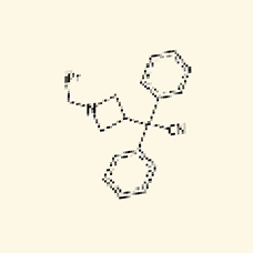 CC(C)CN1CC(C(C#N)(c2ccccc2)c2ccccc2)C1